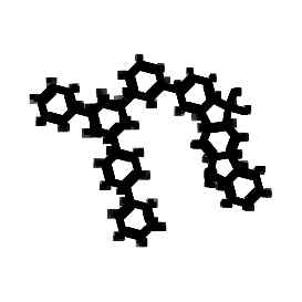 CC1(C)c2ccc(-c3cccc(-c4nc(-c5ccccc5)nc(-c5ccc(-c6cccnc6)cc5)n4)c3)cc2-c2cc3oc4ccccc4c3cc21